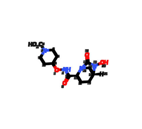 O=C(NOC1CCN(C(=O)O)CC1)[C@@H]1CC[C@@H]2CN1C(=O)N2O